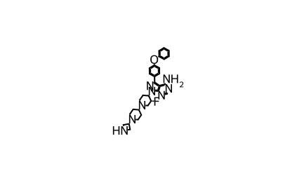 Nc1ncnc2c1c(-c1ccc(Oc3ccccc3)cc1)nn2[C@@H]1CCN(C2CCN(C3CNC3)CC2)C[C@@H]1F